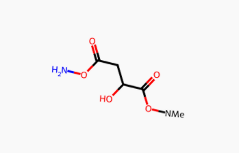 CNOC(=O)C(O)CC(=O)ON